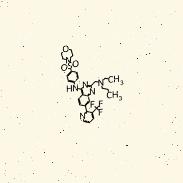 CCCN(CC)Cc1nc(Nc2ccc(S(=O)(=O)N3CCOCC3)cc2)c2ccc(-c3ncccc3C(F)(F)F)cc2n1